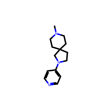 CN1CCC2(CC1)CCN(c1ccncc1)C2